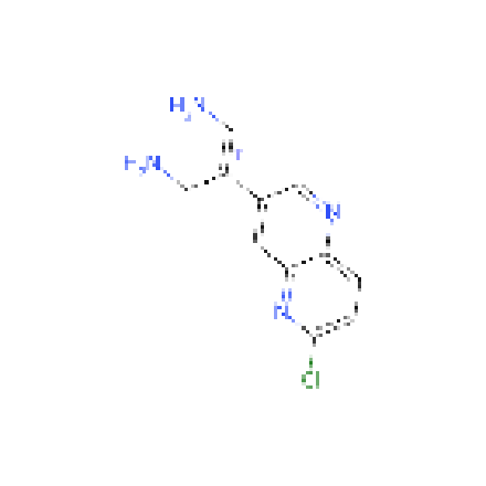 N/C=C(\CN)c1cnc2ccc(Cl)nc2c1